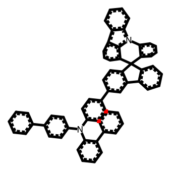 c1ccc(-c2ccc(N(c3ccc(-c4ccc5c(c4)-c4ccccc4C54c5ccccc5-n5c6ccccc6c6cccc4c65)cc3)c3ccccc3-c3ccccc3)cc2)cc1